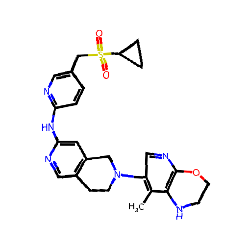 Cc1c(N2CCc3cnc(Nc4ccc(CS(=O)(=O)C5CC5)cn4)cc3C2)cnc2c1NCCO2